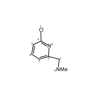 CNCc1cccc(Cl)n1